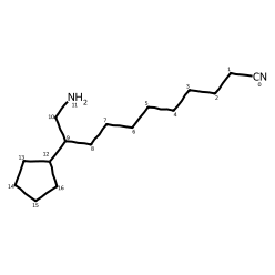 N#CCCCCCCCCC(CN)C1CCCC1